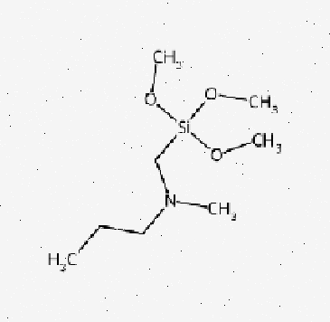 CCCN(C)C[Si](OC)(OC)OC